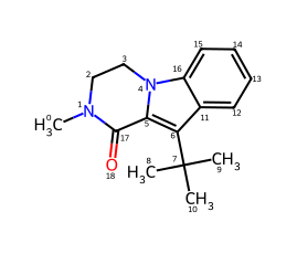 CN1CCn2c(c(C(C)(C)C)c3ccccc32)C1=O